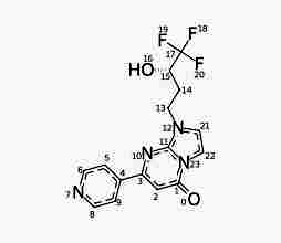 O=c1cc(-c2ccncc2)nc2n(CC[C@H](O)C(F)(F)F)ccn12